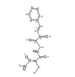 CCN(C(=O)NC)C(=O)NCC(=O)C(=O)/C=C/c1ccccc1